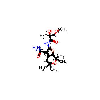 COCC(C)(O)C(=O)Nc1sc2c(c1C(N)=O)CC(C)(C)OC2(C)C